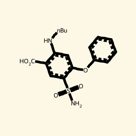 CCCCNc1cc(Oc2ccccc2)c(S(N)(=O)=O)cc1C(=O)O